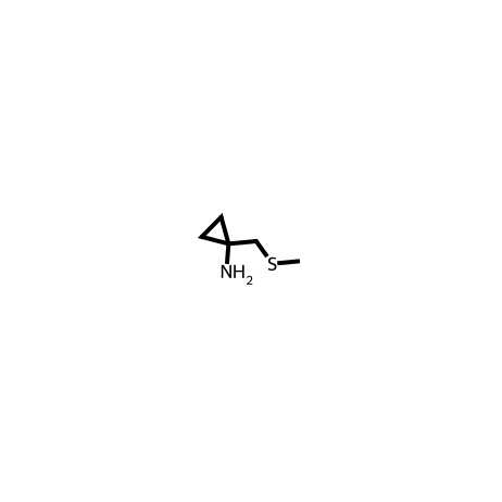 CSCC1(N)CC1